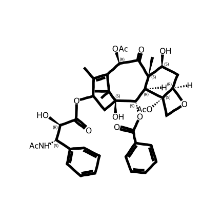 CC(=O)N[C@@H](c1ccccc1)[C@@H](O)C(=O)OC1C[C@@]2(O)[C@@H](OC(=O)c3ccccc3)[C@@H]3[C@]4(OC(C)=O)CO[C@@H]4C[C@H](O)[C@@]3(C)C(=O)[C@H](OC(C)=O)C(=C1C)C2(C)C